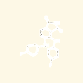 O=C1NC(=O)c2c1ccc(Nc1ccc(F)cc1)c2Nc1ccc(F)cc1